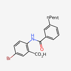 CCCCCc1cccc(C(=O)Nc2ccc(Br)cc2C(=O)O)c1